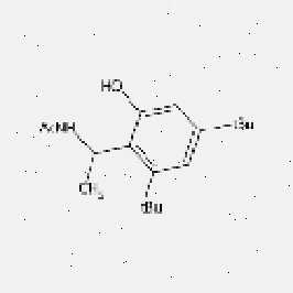 CC(=O)NC(C)c1c(O)cc(C(C)(C)C)cc1C(C)(C)C